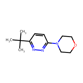 CC(C)(C)c1ccc(N2CCOCC2)nn1